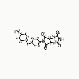 CC(C)C1CCC(CC2CCC(N3C(=O)C4C5C(=O)NC(=O)C5C4C3=O)CC2)CC1